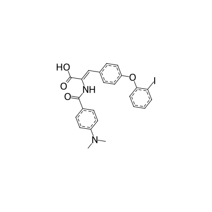 CN(C)c1ccc(C(=O)N/C(=C\c2ccc(Oc3ccccc3I)cc2)C(=O)O)cc1